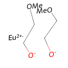 COCC[O-].COCC[O-].[Eu+2]